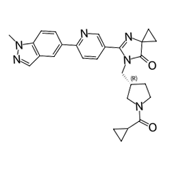 Cn1ncc2cc(-c3ccc(C4=NC5(CC5)C(=O)N4C[C@@H]4CCN(C(=O)C5CC5)C4)cn3)ccc21